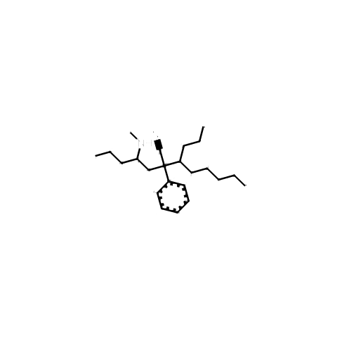 CCCCCC(CCC)C(C#N)(CC(CCC)NC)c1ccccc1